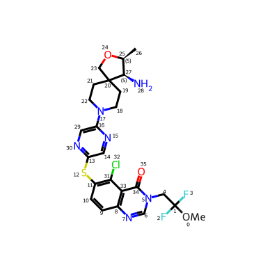 COC(F)(F)Cn1cnc2ccc(Sc3cnc(N4CCC5(CC4)CO[C@@H](C)[C@H]5N)cn3)c(Cl)c2c1=O